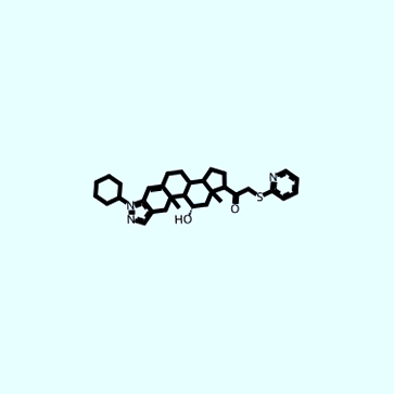 CC12Cc3cnn(C4CCCCC4)c3C=C1CCC1C2[C@@H](O)CC2(C)C(C(=O)CSc3ccccn3)CCC12